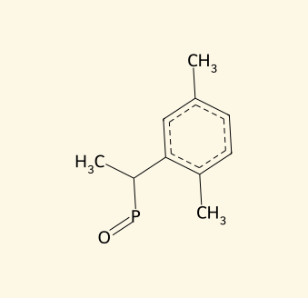 Cc1ccc(C)c(C(C)P=O)c1